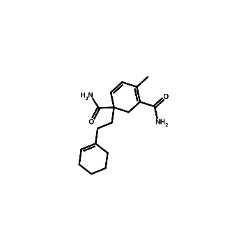 CC1=C(C(N)=O)CC(CCC2=CCCCC2)(C(N)=O)C=C1